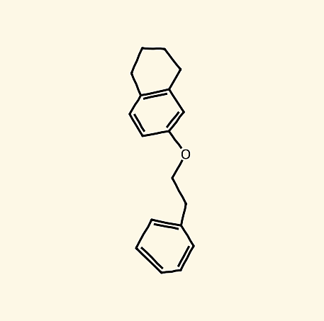 c1ccc(CCOc2ccc3c(c2)CCCC3)cc1